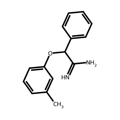 Cc1cccc(OC(C(=N)N)c2ccccc2)c1